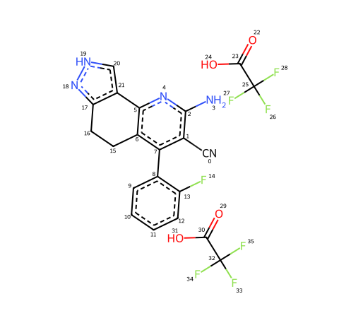 N#Cc1c(N)nc2c(c1-c1ccccc1F)CCc1n[nH]cc1-2.O=C(O)C(F)(F)F.O=C(O)C(F)(F)F